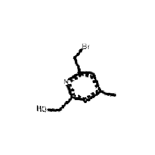 Cc1cc(CO)nc(CBr)c1